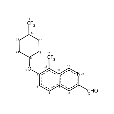 O=Cc1cc2ccc(OC3CCC(C(F)(F)F)CC3)c(C(F)(F)F)c2cn1